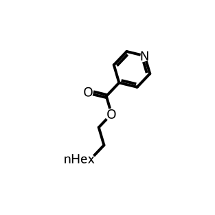 CCCCCCCCOC(=O)c1ccncc1